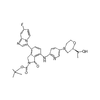 CC(O)[C@H]1CN(c2ccc(Nc3ccc(-c4cnc5cc(F)ccn45)c4c3C(=O)N(C(=O)OC(C)(C)C)C4)nc2)CCO1